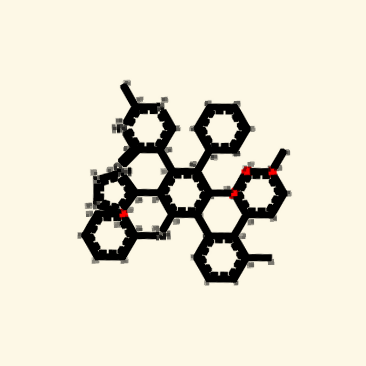 CCCCc1c(-c2cccc(C)c2-c2ccccc2)c(Nc2ccccc2)c(-c2nnn[nH]2)c(-c2cnc(C)[nH]c2=O)c1-c1ccccc1